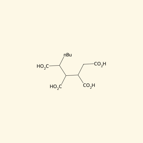 CCCCC(C(=O)O)C(C(=O)O)C(CC(=O)O)C(=O)O